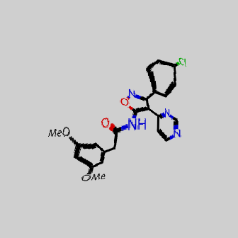 COc1cc(CC(=O)Nc2onc(-c3ccc(Cl)cc3)c2-c2ccncn2)cc(OC)c1